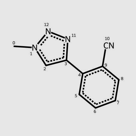 Cn1cc(-c2cc[c]cc2C#N)nn1